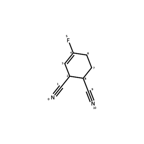 N#CC1C=C(F)CCC1C#N